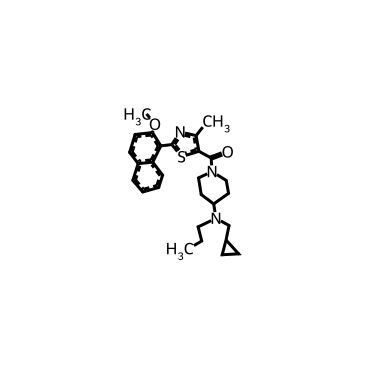 CCCN(CC1CC1)C1CCN(C(=O)c2sc(-c3c(OC)ccc4ccccc34)nc2C)CC1